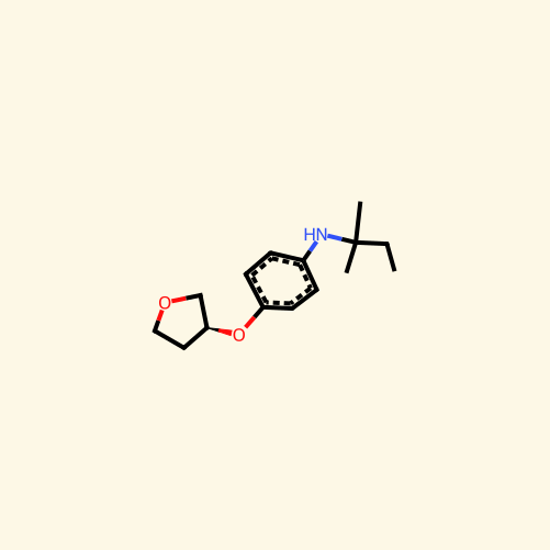 CCC(C)(C)Nc1ccc(O[C@H]2CCOC2)cc1